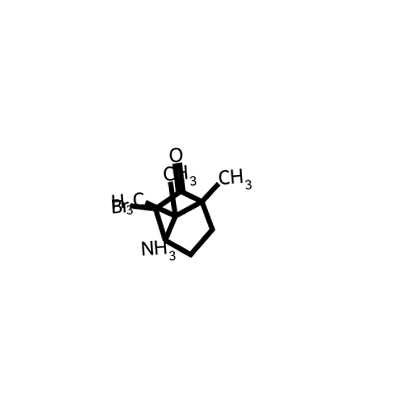 CC12CCC(C(Br)C1=O)C2(C)C.N